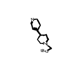 CC(C)(C)CN1CCC(c2ccncc2)CC1